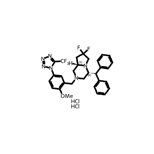 COc1ccc(-n2nnnc2C(F)(F)F)cc1CN1C[C@@H]2CC(F)(F)CN2[C@H](C(c2ccccc2)c2ccccc2)C1.Cl.Cl